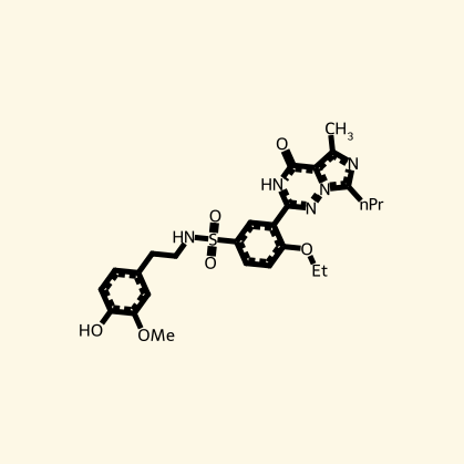 CCCc1nc(C)c2c(=O)[nH]c(-c3cc(S(=O)(=O)NCCc4ccc(O)c(OC)c4)ccc3OCC)nn12